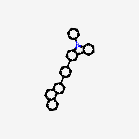 c1ccc(-n2c3ccccc3c3cc(-c4ccc(-c5ccc6c(ccc7ccccc76)c5)cc4)ccc32)cc1